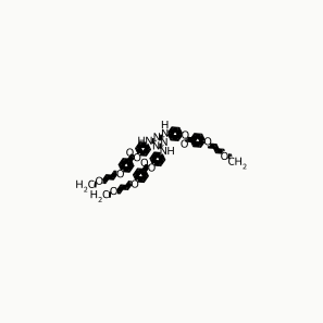 C=COCCCCOc1ccc(C(=O)Oc2ccc(Nc3nc(Nc4ccc(OC(=O)c5ccc(OCCCCOC=C)cc5)cc4)nc(Nc4ccc(OC(=O)c5ccc(OCCCCOC=C)cc5)cc4)n3)cc2)cc1